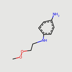 COOCCNc1ccc(N)cc1